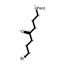 CCCCCCCCC(=O)CCCBr